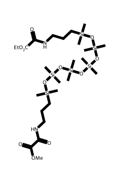 CCOC(=O)C(=O)NCCC[Si](C)(C)O[Si](C)(C)O[Si](C)(C)O[Si](C)(C)O[Si](C)(C)O[Si](C)(C)CCCNC(=O)C(=O)OC